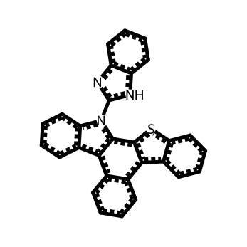 c1ccc2[nH]c(-n3c4ccccc4c4c5ccccc5c5c6ccccc6sc5c43)nc2c1